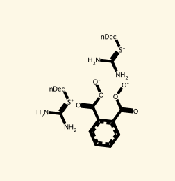 CCCCCCCCCC[S+]=C(N)N.CCCCCCCCCC[S+]=C(N)N.O=C(O[O-])c1ccccc1C(=O)O[O-]